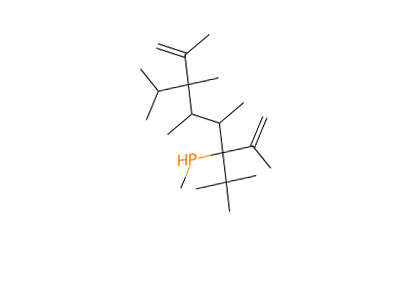 C=C(C)C(C)(C(C)C)C(C)C(C)C(PC)(C(=C)C)C(C)(C)C